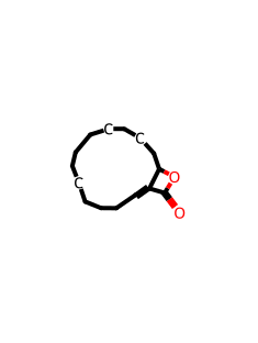 O=C1OC2CCCCCCCCCCC/C=C\12